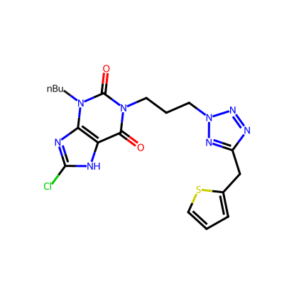 CCCCn1c(=O)n(CCCn2nnc(Cc3cccs3)n2)c(=O)c2[nH]c(Cl)nc21